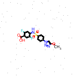 COc1cn(-c2ccc(S(=O)(=O)Nc3cc(F)c(C(=O)O)cc3F)cc2)nn1